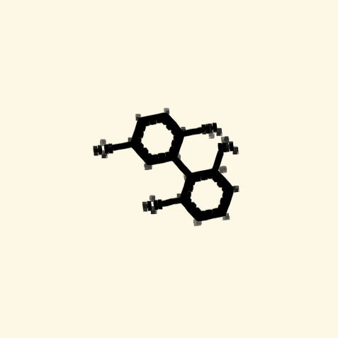 Nc1ccc(N)c(-c2c(N)cccc2N)c1